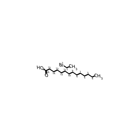 CCBr.CCCCCCCCCCCCCC(=O)O